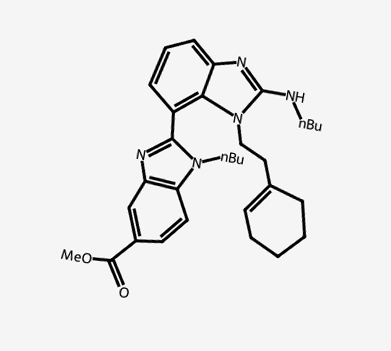 CCCCNc1nc2cccc(-c3nc4cc(C(=O)OC)ccc4n3CCCC)c2n1CCC1=CCCCC1